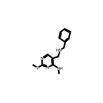 CNc1nc(SC)ncc1CNCc1ccccc1